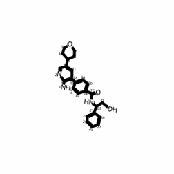 Nc1ncc(C2CCOCC2)cc1-c1ccc(C(=O)NC(CO)c2ccccc2)cc1